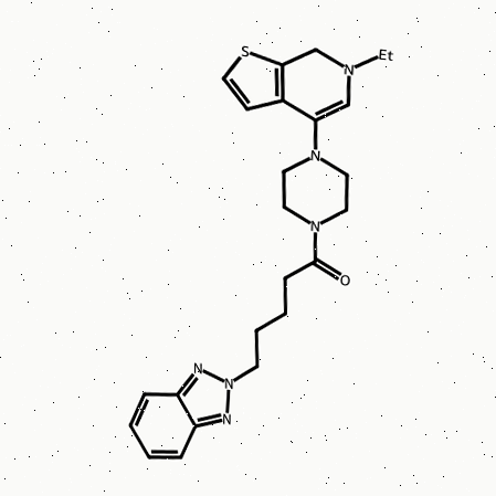 CCN1C=C(N2CCN(C(=O)CCCCn3nc4ccccc4n3)CC2)c2ccsc2C1